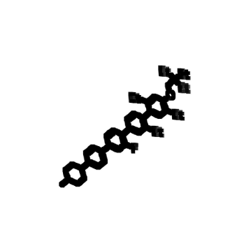 CCc1cc(-c2ccc(-c3ccc(-c4ccc(C5CCC(C)CC5)cc4)cc3F)cc2CC)c(CC)cc1OCC(CC)(CC)CC